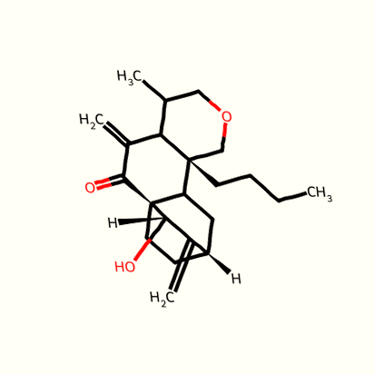 C=C1C(=O)[C@@]23CC[C@@H](CC2[C@@]2(CCCC)COCC(C)C12)C(=C)[C@@H]3O